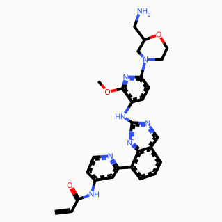 C=CC(=O)Nc1ccnc(-c2cccc3cnc(Nc4ccc(N5CCOC(CN)C5)nc4OC)nc23)c1